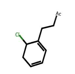 CC(=O)CCC1=CC=CCC1Cl